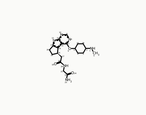 CNC1CCC(Oc2ncnc3sc4c(c23)[C@@H](CC(=O)NCC(N)=O)CC4)CC1